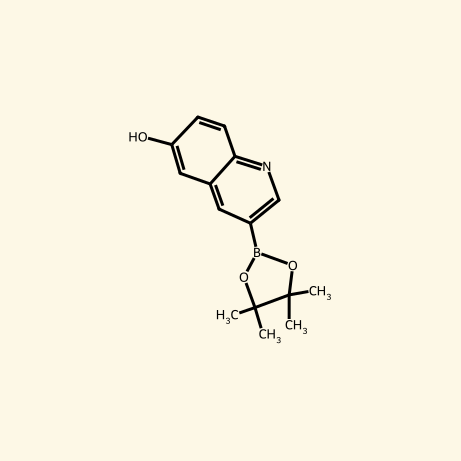 CC1(C)OB(c2cnc3ccc(O)cc3c2)OC1(C)C